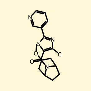 COC1CC2CCC(C1)N2C(=O)c1sc(-c2cccnc2)nc1Cl